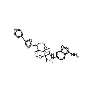 CC(O)(C(=O)Nc1ccc2c(N)noc2c1)[C@H]1OCCN(c2ccc(-c3ccncc3)o2)C1=O